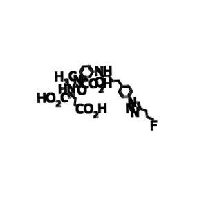 CN(C(=O)N[C@@H](CCC(=O)O)C(=O)O)[C@]1(C(=O)O)C=CC=C(NC(=O)CCCc2ccc(-n3cc(CCCF)nn3)cc2)C1